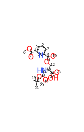 COC(=O)c1cccc(C(=O)OC[C@H](NC(=O)OC(C)(C)C)C(=O)O)n1